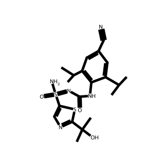 CC(C)c1cc(C#N)cc(C(C)C)c1NC(=O)N=S(N)(=O)c1cnc(C(C)(C)O)s1